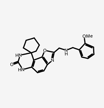 COc1ccccc1CNCc1nc2ccc3c(c2o1)C1(CCCCC1)NC(=O)N3